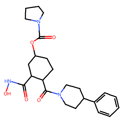 O=C(NO)C1CC(OC(=O)N2CCCC2)CCC1C(=O)N1CCC(c2ccccc2)CC1